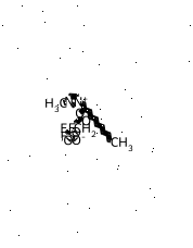 C=CC(=O)OC(CCCCCCCCC)C[n+]1ccn(C)c1.O=S(=O)([O-])C(F)(F)F